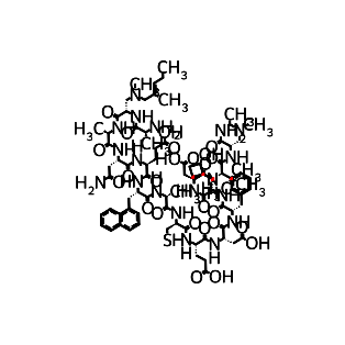 CC/C=C(\C)CN(C)C[C@H](NC(=O)[C@H](C)N)C(=O)N[C@H](C)C(=O)N[C@@H](CC(N)=O)C(=O)N[C@@H](CCC(=O)O)C(=O)N[C@@H](Cc1cccc2ccccc12)C(=O)N[C@H](C)C(=O)N[C@H](CS)C(=O)N[C@@H](CCC(=O)O)C(=O)N[C@@H](CC(=O)O)C(=O)N[C@@H](Cc1ccccc1)C(=O)N[C@@H](CC1CC[C@@H]1O)C(=O)N[C@@H](CC(=O)O)C(=O)N[C@H](C(=O)N[C@@H](CN(C)CC)C(N)=O)C(C)(C)C